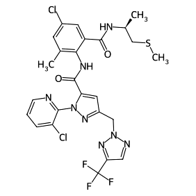 CSC[C@H](C)NC(=O)c1cc(Cl)cc(C)c1NC(=O)c1cc(Cn2ncc(C(F)(F)F)n2)nn1-c1ncccc1Cl